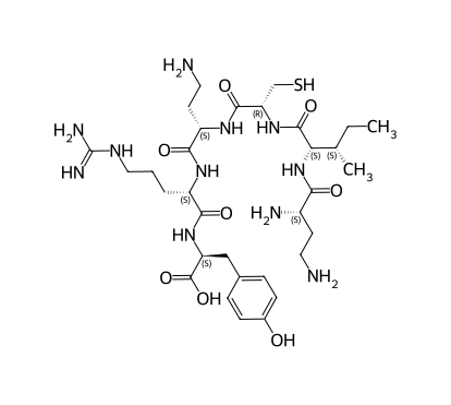 CC[C@H](C)[C@H](NC(=O)[C@@H](N)CCN)C(=O)N[C@@H](CS)C(=O)N[C@@H](CCN)C(=O)N[C@@H](CCCNC(=N)N)C(=O)N[C@@H](Cc1ccc(O)cc1)C(=O)O